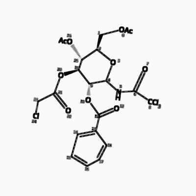 CC(=O)OC[C@H]1OC(NC(=O)C(Cl)(Cl)Cl)[C@H](OC(=O)c2ccccc2)[C@@H](OC(=O)CCl)[C@@H]1OC(C)=O